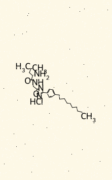 CCCCCCCCCCc1ccc(-c2noc(CNC(=O)[C@@H](N)CC(C)C)n2)cc1.Cl